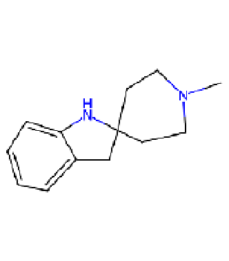 CN1CCC2(CC1)Cc1ccccc1N2